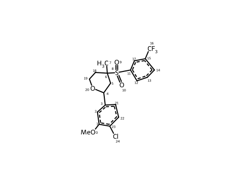 COc1cc(C2CC(C)(S(=O)(=O)c3cccc(C(F)(F)F)c3)CCO2)ccc1Cl